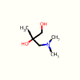 CN(C)CC(C)(O)CO